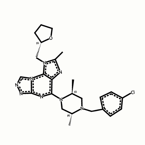 Cc1nc2c(N3C[C@@H](C)N(Cc4ccc(Cl)cc4)C[C@@H]3C)nc3nncn3c2n1C[C@@H]1CCCO1